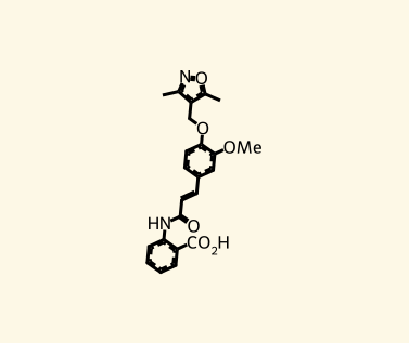 COc1cc(/C=C/C(=O)Nc2ccccc2C(=O)O)ccc1OCc1c(C)noc1C